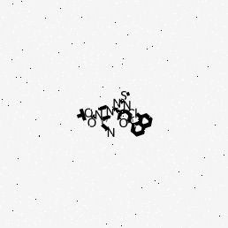 CSc1nc2c(c(N3CCN(C(=O)OC(C)(C)C)[C@@H](CC#N)C3)n1)CO[C@H](c1cccc3cccc(Cl)c13)C2